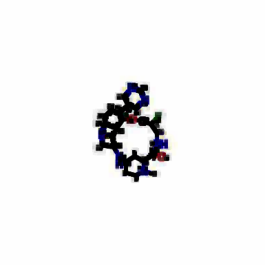 CN1CC[C@H]2C[C@H]1C(=O)NCC(F)COc1c(-c3cncnc3)ccc3ncc(cc13)N2